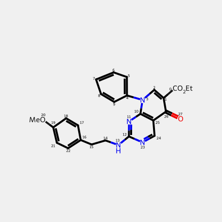 CCOC(=O)c1cn(-c2ccccc2)c2nc(NCCc3ccc(OC)cc3)ncc2c1=O